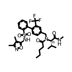 CCCCC(=O)N(Cc1ccc(-c2ccccc2S(=O)(=O)Nc2onc(C)c2C)c(C(F)(F)F)c1)[C@H](C(=O)NC)C(C)C